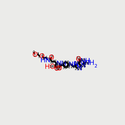 COCCOCCNC(=O)CCC(NC(=O)c1ccc(NCc2cnc3nc(N)[nH]c(=O)c3n2)cc1)C(=O)O